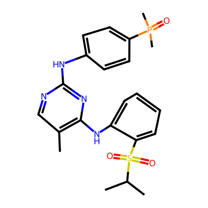 Cc1cnc(Nc2ccc(P(C)(C)=O)cc2)nc1Nc1ccccc1S(=O)(=O)C(C)C